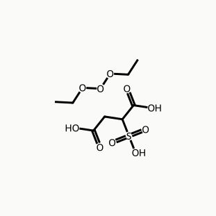 CCOOOCC.O=C(O)CC(C(=O)O)S(=O)(=O)O